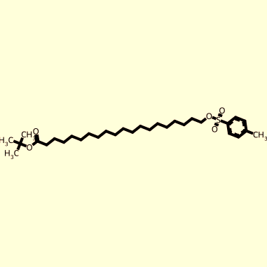 Cc1ccc(S(=O)(=O)OCCCCCCCCCCCCCCCCCCCC(=O)OC(C)(C)C)cc1